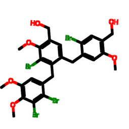 COc1cc(Cc2cc(CO)c(OC)c(Br)c2Cc2cc(OC)c(OC)c(Br)c2Br)c(Br)cc1CO